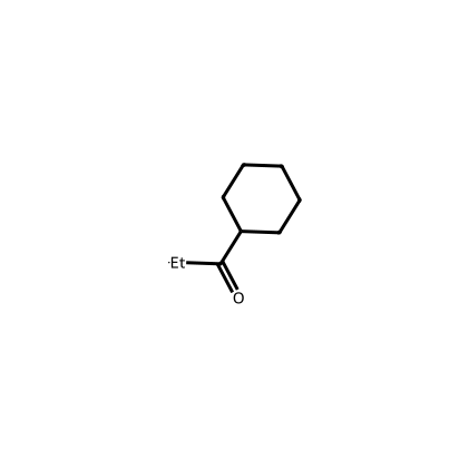 C[CH]C(=O)C1CCCCC1